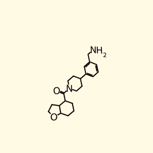 NCc1cccc(C2CCN(C(=O)C3CCCC4OCCC43)CC2)c1